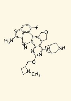 CN1CC[C@H]1COc1nc(N2C3CCC2CNC3)c2c3c(c(-c4c(F)ccc5sc(N)c(C#N)c45)c(F)c2n1)COC3